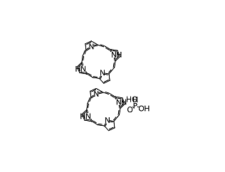 C1=Cc2cc3ccc(cc4nc(cc5ccc(cc1n2)[nH]5)C=C4)[nH]3.C1=Cc2cc3ccc(cc4nc(cc5ccc(cc1n2)[nH]5)C=C4)[nH]3.O=[PH](O)O